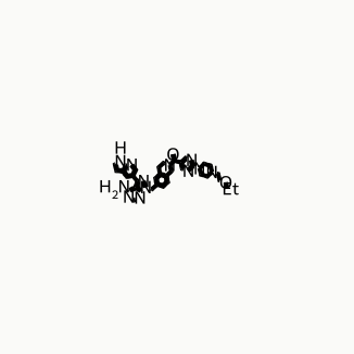 CCOCCN1CCN(c2ncc(C(=O)N3CCc4cc(Cn5nc(-c6cnc7[nH]ccc7c6)c6c(N)ncnc65)ccc4C3)cn2)CC1